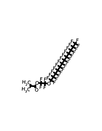 C=C(C)C(=O)OC(F)(F)C(F)(F)OC(F)(F)C(F)(F)C(F)(F)C(F)(F)C(F)(F)C(F)(F)C(F)(F)C(F)(F)C(F)(F)C(F)(F)C(F)(F)C(F)(F)F